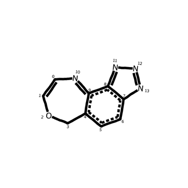 C1=COCc2ccc3c(c2=N1)=NN=N3